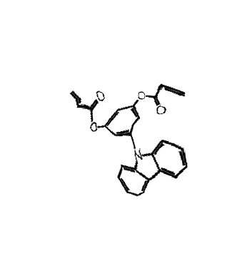 C=CC(=O)Oc1cc(OC(=O)C=C)cc(-n2c3ccccc3c3ccccc32)c1